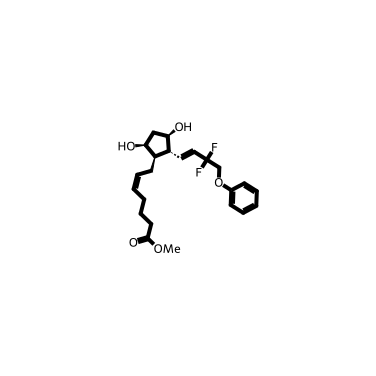 COC(=O)CCC/C=C\C[C@@H]1[C@@H](/C=C/C(F)(F)COc2ccccc2)[C@H](O)C[C@@H]1O